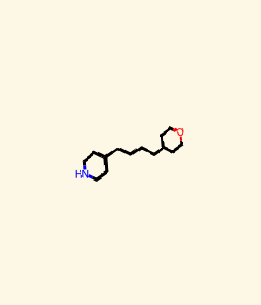 C(CCC1CCOCC1)CC1CCNCC1